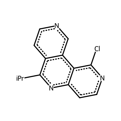 CC(C)c1nc2ccnc(Cl)c2c2cnccc12